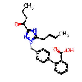 CC=CCc1nc(C(=O)CCC)nn1Cc1ccc(-c2ccccc2C(=O)O)cc1